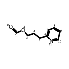 O=[C]OCCCc1ccccn1